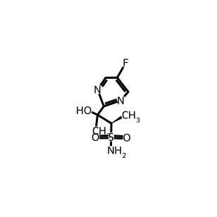 C[C@H](C(C)(O)c1ncc(F)cn1)S(N)(=O)=O